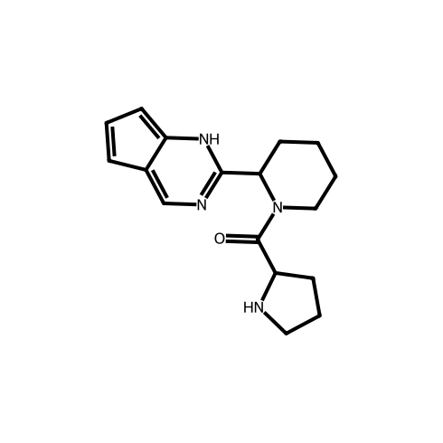 O=C(C1CCCN1)N1CCCCC1c1ncc2cccc-2[nH]1